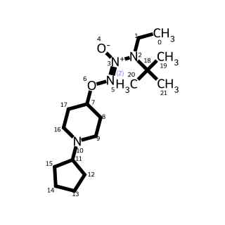 CCN(/[N+]([O-])=N/OC1CCN(C2CCCC2)CC1)C(C)(C)C